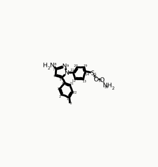 Cc1ccc(-c2cc(N)nn2-c2ccc(SOON)cc2)cc1